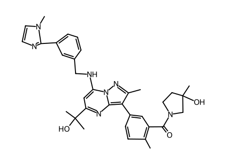 Cc1ccc(-c2c(C)nn3c(NCc4cccc(-c5nccn5C)c4)cc(C(C)(C)O)nc23)cc1C(=O)N1CCC(C)(O)C1